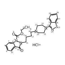 CCOC(=O)n1c2ccccc2c(=O)n1CCCCN1CCN(c2nsc3ccccc23)CC1.Cl